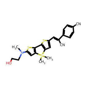 CN(CCO)c1cc2c(s1)-c1sc(/C=C(\C#N)c3ccc(C#N)cc3)cc1S2(C)C